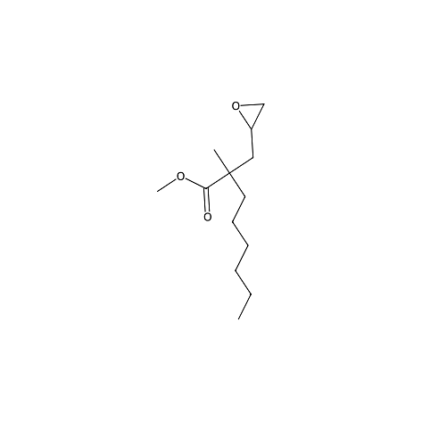 CCCCCCC(C)(CC1CO1)C(=O)OC